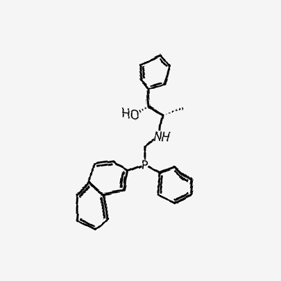 C[C@H](NCP(c1ccccc1)c1ccc2ccccc2c1)[C@H](O)c1ccccc1